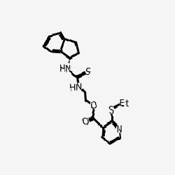 CCSc1ncccc1C(=O)OCCNC(=S)N[C@H]1CCc2ccccc21